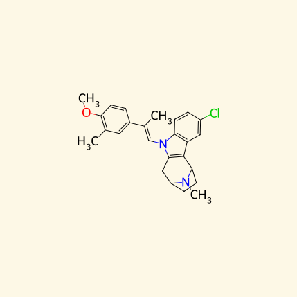 COc1ccc(/C(C)=C/n2c3c(c4cc(Cl)ccc42)C2CCC(C3)N2C)cc1C